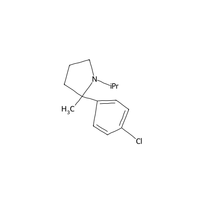 CC(C)N1CCCC1(C)c1ccc(Cl)cc1